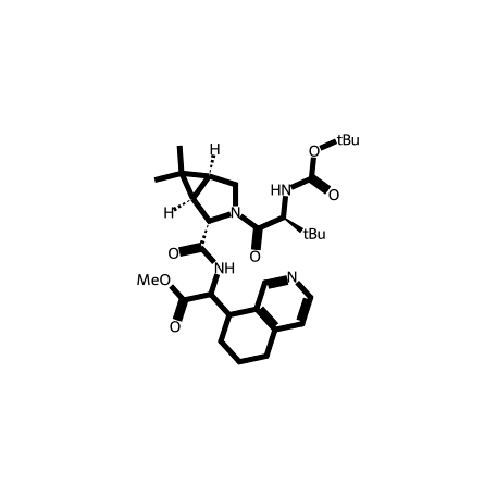 COC(=O)C(NC(=O)[C@@H]1[C@@H]2[C@H](CN1C(=O)[C@@H](NC(=O)OC(C)(C)C)C(C)(C)C)C2(C)C)C1CCCc2ccncc21